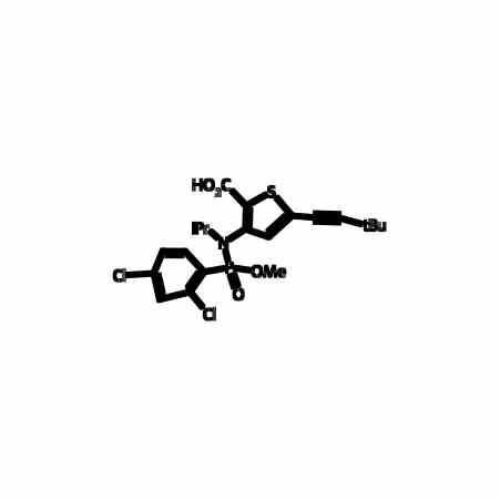 COP(=O)(c1ccc(Cl)cc1Cl)N(c1cc(C#CC(C)(C)C)sc1C(=O)O)C(C)C